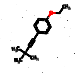 CCOc1ccc(C#C[Si](C)(C)C)cc1